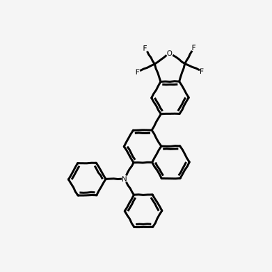 FC1(F)OC(F)(F)c2cc(-c3ccc(N(c4ccccc4)c4ccccc4)c4ccccc34)ccc21